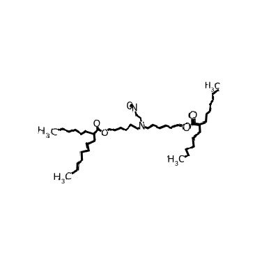 CCCCCCCCC(CCCCCC)C(=O)OCCCCCCN(CCCCCCOC(=O)C(CCCCCC)CCCCCCCC)CCN=O